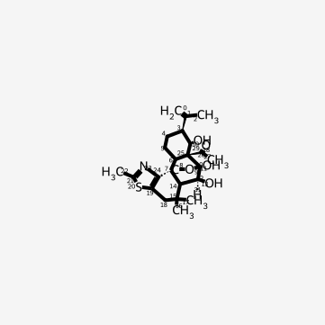 C=C(C)[C@@H]1CCC2[C@@]34CO[C@@](O)([C@@H](O)C3C(C)(C)Cc3sc(C)nc34)[C@@]2(C(C)=O)[C@@H]1O